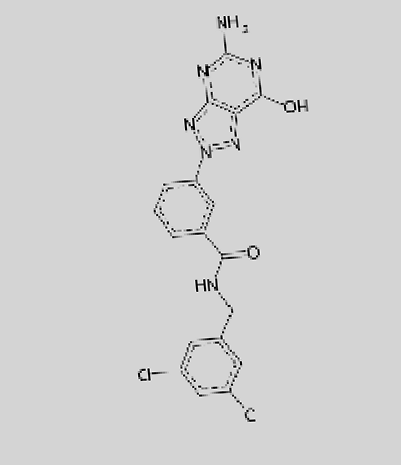 Nc1nc(O)c2nn(-c3cccc(C(=O)NCc4cc(Cl)cc(Cl)c4)c3)nc2n1